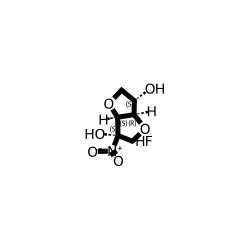 F.O=[N+]([O-])[C@]1(O)CO[C@@H]2[C@@H](O)CO[C@@H]21